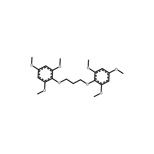 COc1cc(OC)c(OCCCOc2c(OC)cc(OC)cc2OC)c(OC)c1